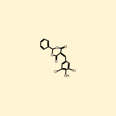 O=C1OC(c2ccccc2)OC(=O)C1=Cc1cc(Cl)c(O)c(Cl)c1